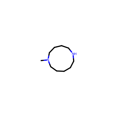 CN1CCCCCNCCCC1